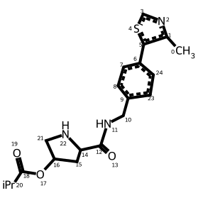 Cc1ncsc1-c1ccc(CNC(=O)C2CC(OC(=O)C(C)C)CN2)cc1